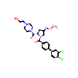 CON=C1C[C@@H](C(=O)N2CCN(CCO)CC2)N(C(=O)c2ccc(-c3ccc(Cl)c(Cl)c3)cc2)C1